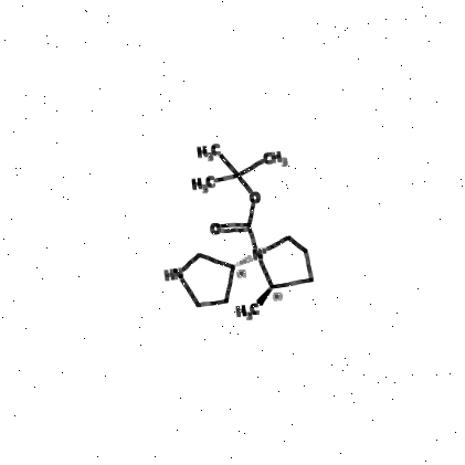 C[C@@H]1CCC[N+]1(C(=O)OC(C)(C)C)[C@@H]1CCNC1